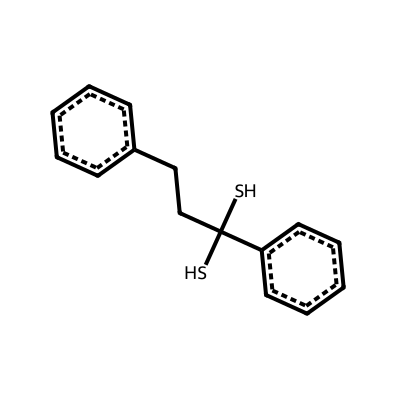 SC(S)(CCc1ccccc1)c1ccccc1